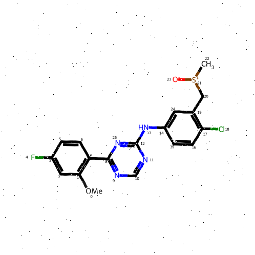 COc1cc(F)ccc1-c1ncnc(Nc2ccc(Cl)c(C[S+](C)[O-])c2)n1